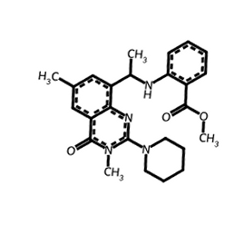 COC(=O)c1ccccc1NC(C)c1cc(C)cc2c(=O)n(C)c(N3CCCCC3)nc12